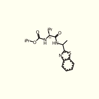 CC(C)OC(=O)N[C@H](C(=O)NC(C)c1nc2ccccc2s1)C(C)C